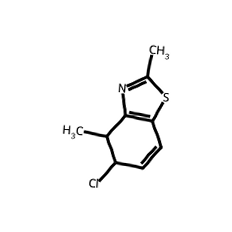 Cc1nc2c(s1)C=CC(Cl)C2C